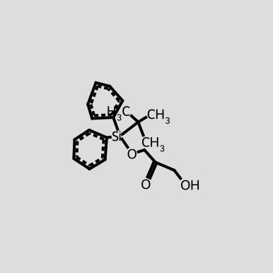 CC(C)(C)[Si](OCC(=O)CO)(c1ccccc1)c1ccccc1